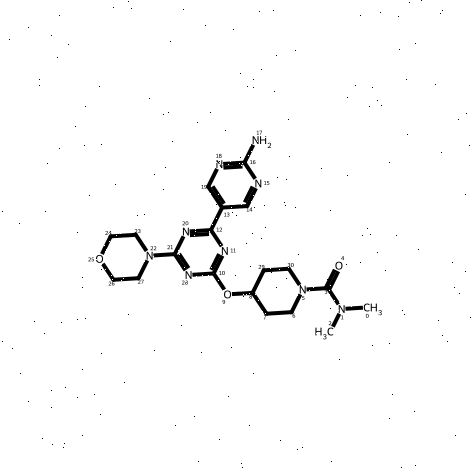 CN(C)C(=O)N1CCC(Oc2nc(-c3cnc(N)nc3)nc(N3CCOCC3)n2)CC1